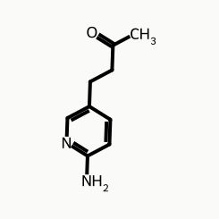 CC(=O)CCc1ccc(N)nc1